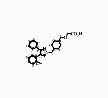 O=C(O)COCC1CCC(Cn2cc(-c3ccccc3F)c(-c3ccccc3)n2)CC1